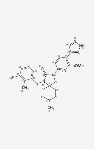 COc1nc(N2CC3(CCN(C)CC3)N(Cc3cccc(F)c3C)C2=O)ccc1-c1cn[nH]c1